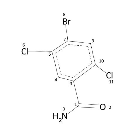 NC(=O)c1cc(Cl)c(Br)cc1Cl